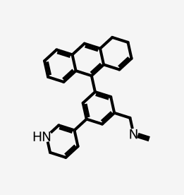 C=NCc1cc(C2=CNCC=C2)cc(-c2c3c(cc4ccccc24)CCC=C3)c1